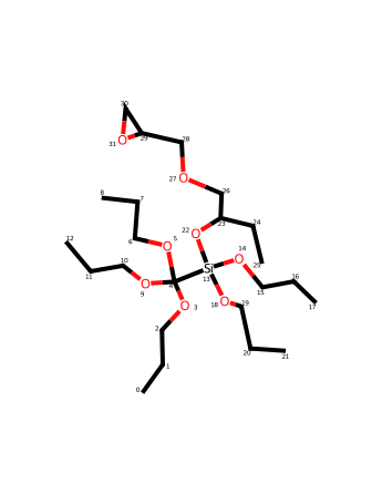 CCCOC(OCCC)(OCCC)[Si](OCCC)(OCCC)OC(CC)COCC1CO1